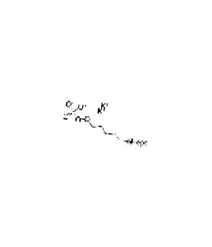 CCCCCCCCCCCCOOP(=O)([O-])[O-].[K+].[K+]